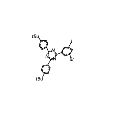 CC(C)(C)c1ccc(-c2nc(-c3ccc(C(C)(C)C)cc3)nc(-c3cc(Br)cc(I)c3)n2)cc1